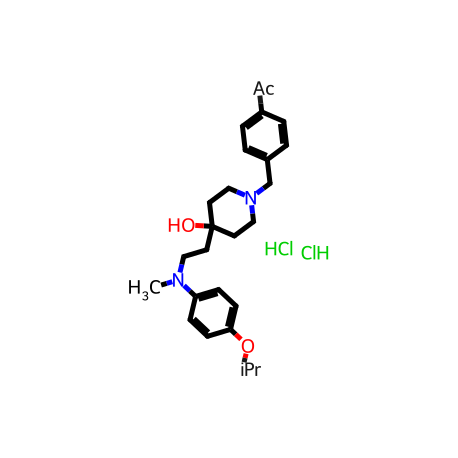 CC(=O)c1ccc(CN2CCC(O)(CCN(C)c3ccc(OC(C)C)cc3)CC2)cc1.Cl.Cl